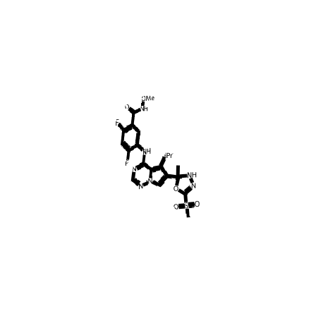 CONC(=O)c1cc(Nc2ncnn3cc(C4(C)NN=C(S(C)(=O)=O)O4)c(C(C)C)c23)c(F)cc1F